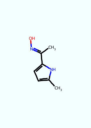 C/C(=N\O)c1ccc(C)[nH]1